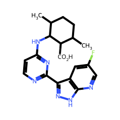 CC1CCC(C)C(C(=O)O)C1Nc1ccnc(-c2n[nH]c3ncc(F)cc23)n1